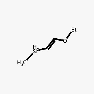 CCOC=C[SiH2]C